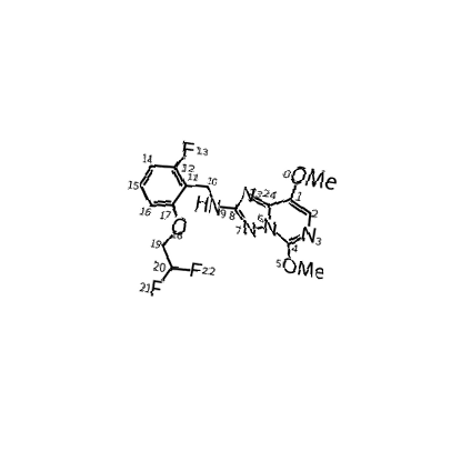 COc1cnc(OC)n2nc(NCc3c(F)cccc3OCC(F)F)nc12